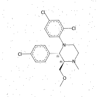 COC[C@H]1[C@H](c2ccc(Cl)cc2)N(c2ccc(Cl)cc2Cl)CCN1C